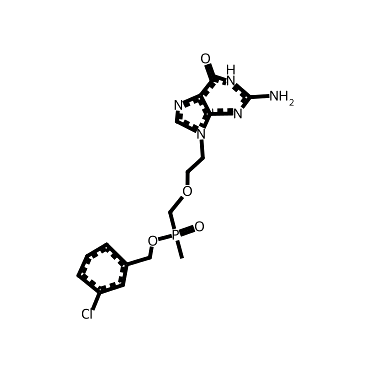 CP(=O)(COCCn1cnc2c(=O)[nH]c(N)nc21)OCc1cccc(Cl)c1